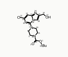 CC(C)(C)OC(=O)N1CCN(c2nc(Cl)cc3nc(CO)cn23)CC1